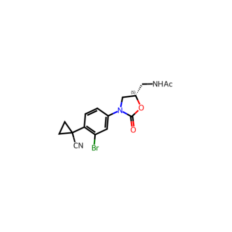 CC(=O)NC[C@H]1CN(c2ccc(C3(C#N)CC3)c(Br)c2)C(=O)O1